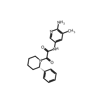 Cc1cc(NC(=O)C(=O)N2CCCC[C@H]2c2ccccc2)cnc1N